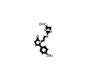 CC(C)(C)c1ccc(C2CCC(=O)N2CCSc2nc(C=O)cs2)cc1